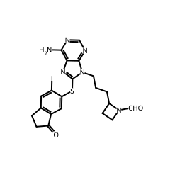 Nc1ncnc2c1nc(Sc1cc3c(cc1I)CCC3=O)n2CCCC1CCN1C=O